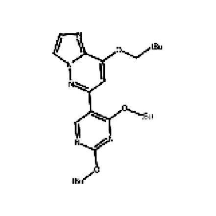 CC(C)(C)COc1cc(-c2cnc(OC(C)(C)C)nc2OC(C)(C)C)nn2ccnc12